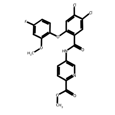 COC(=O)c1ccc(NC(=O)c2cc(Cl)c(Cl)cc2Oc2ccc(F)cc2OC)cn1